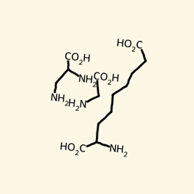 NC(CCCCCCC(=O)O)C(=O)O.NCC(=O)O.NCC(N)C(=O)O